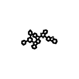 c1ccc(-c2cc(-c3ccccc3)cc(-n3c4ccccc4c4ccc5c(c6ccccc6n5-c5nc(-c6ccc7c(c6)oc6ccccc67)c6ccccc6n5)c43)c2)cc1